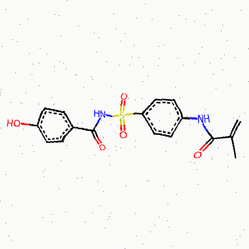 C=C(C)C(=O)Nc1ccc(S(=O)(=O)NC(=O)c2ccc(O)cc2)cc1